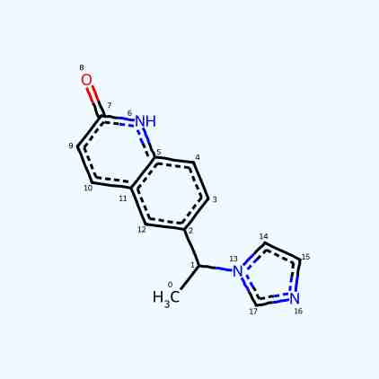 CC(c1ccc2[nH]c(=O)ccc2c1)n1ccnc1